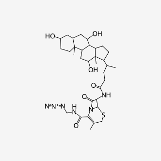 CC1=C(C(=O)NCN=[N+]=[N-])N2C(=O)C(NC(=O)CCC(C)C3CCC4C5C(O)CC6CC(O)CCC6(C)C5CC(O)C34C)C2SC1